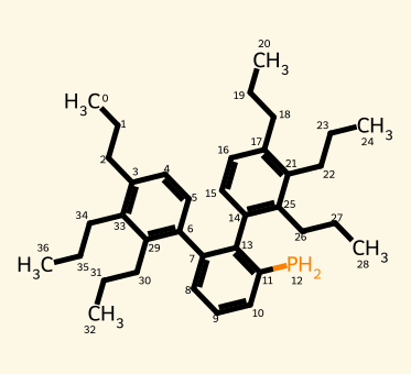 CCCc1ccc(-c2cccc(P)c2-c2ccc(CCC)c(CCC)c2CCC)c(CCC)c1CCC